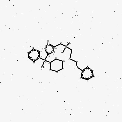 C[N+](C)(CCCOc1ccccc1)Cc1nc(C(O)(c2ccccc2)C2CCCCC2)no1